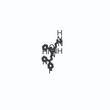 O=C(NC(=NCCC(c1ccc(F)cc1)c1ccccn1)NCCCc1c[nH]cn1)c1ccccc1